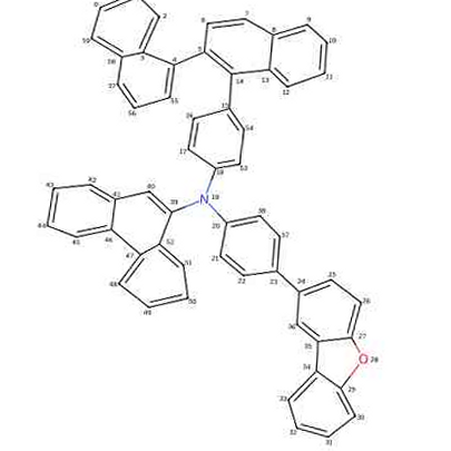 c1ccc2c(-c3ccc4ccccc4c3-c3ccc(N(c4ccc(-c5ccc6oc7ccccc7c6c5)cc4)c4cc5ccccc5c5ccccc45)cc3)cccc2c1